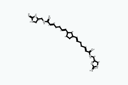 O=C(/C=C/CC/C=C/C1CCC(/C=C/CC/C=C/C(=O)OCC2CSC(=S)O2)C1)OCC1CSC(=S)O1